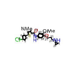 CNc1cc(-c2ccc(Cl)cc2)sc1C(=O)Nc1ccc(OCCCNC2CC2)c(OC)c1